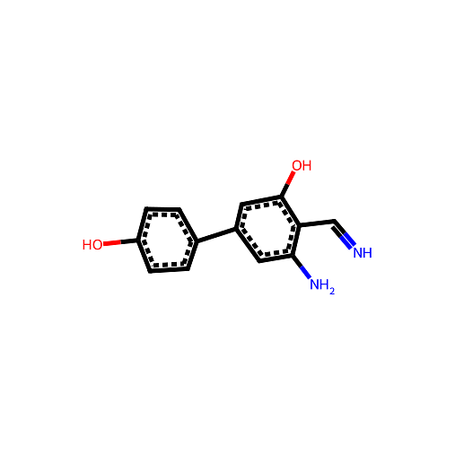 N=Cc1c(N)cc(-c2ccc(O)cc2)cc1O